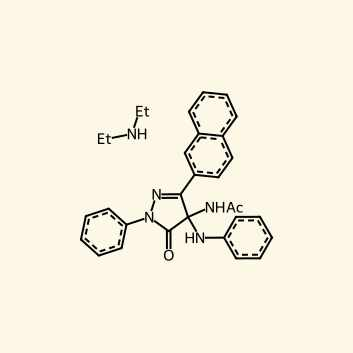 CC(=O)NC1(Nc2ccccc2)C(=O)N(c2ccccc2)N=C1c1ccc2ccccc2c1.CCNCC